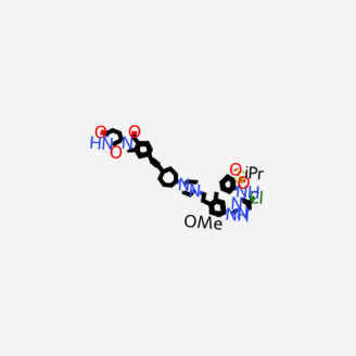 COc1cc(CCN2CCN(C3CCCC(C#Cc4ccc5c(c4)CN(C4CCC(=O)NC4=O)C5=O)CC3)CC2)c(C)cc1Nc1ncc(Cl)c(Nc2ccccc2S(=O)(=O)C(C)C)n1